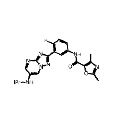 Cc1nc(C)c(C(=O)Nc2ccc(F)c(-c3nc4ncc(NC(C)C)cn4n3)c2)o1